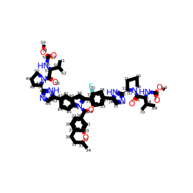 COC(=O)NC(C(=O)N1CCC[C@H]1c1ncc(-c2cc(F)c3c(c2)OC(c2ccc4c(c2)OC(C)CC4)n2c-3cc3cc(-c4cnc([C@@H]5CCCN5C(=O)C(NC(=O)OC)C(C)C)[nH]4)ccc32)[nH]1)C(C)C